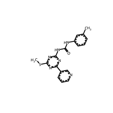 CSc1nc(NC(=O)Nc2cccc(C)c2)nc(-c2cccnc2)n1